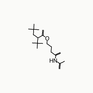 C=C(C)NC(=C)CCCOC(=C)C(CC(C)(C)C)C(C)(C)C